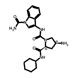 NC(=O)n1cc(NC(=O)N2C[C@@H](N)C[C@H]2C(=O)NC2CCCCC2)c2ccccc21